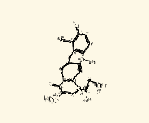 CC(C)Oc1cc2c(cc1Cc1cccc(Cl)c1F)c(=O)c(C(=O)O)cn2[C@H](CO)C(C)C